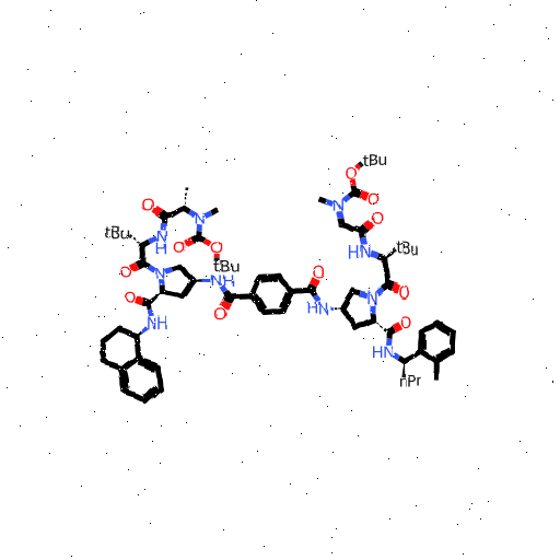 CCC[C@@H](NC(=O)[C@@H]1C[C@H](NC(=O)c2ccc(C(=O)N[C@H]3C[C@@H](C(=O)N[C@@H]4CCCc5ccccc54)N(C(=O)[C@@H](NC(=O)[C@H](C)N(C)C(=O)OC(C)(C)C)C(C)(C)C)C3)cc2)CN1C(=O)[C@@H](NC(=O)CN(C)C(=O)OC(C)(C)C)C(C)(C)C)c1ccccc1C